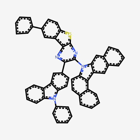 c1ccc(-c2ccc3sc4nc(-n5c6cc7ccccc7cc6c6c7ccccc7ccc65)c(-c5ccc6c(c5)c5ccccc5n6-c5ccccc5)nc4c3c2)cc1